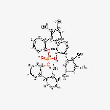 CC(C)(C)c1cccc(-c2ccccc2OP(=O)(Oc2ccccc2-c2cccc(C(C)(C)C)c2C(C)(C)C)Oc2ccccc2-c2cccc(C(C)(C)C)c2C(C)(C)C)c1C(C)(C)C